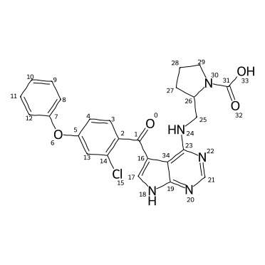 O=C(c1ccc(Oc2ccccc2)cc1Cl)c1c[nH]c2ncnc(NCC3CCCN3C(=O)O)c12